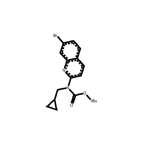 CC(C)(C)OC(=O)N(CC1CC1)c1ccc2ccc(Br)cc2n1